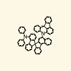 CC12c3ccccc3-c3cccc(c31)N(c1cc3c(c4ccccc14)-c1ccccc1C31c3ccccc3-c3c(N(c4ccccc4)c4ccccc4)cccc31)c1ccccc12